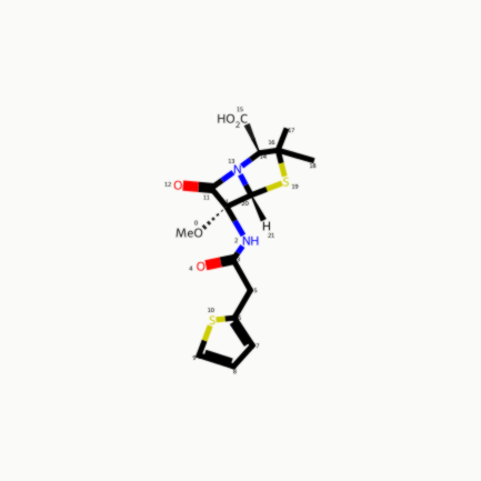 CO[C@]1(NC(=O)Cc2cccs2)C(=O)N2[C@@H](C(=O)O)C(C)(C)S[C@@H]21